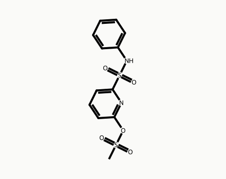 CS(=O)(=O)Oc1cccc(S(=O)(=O)Nc2ccccc2)n1